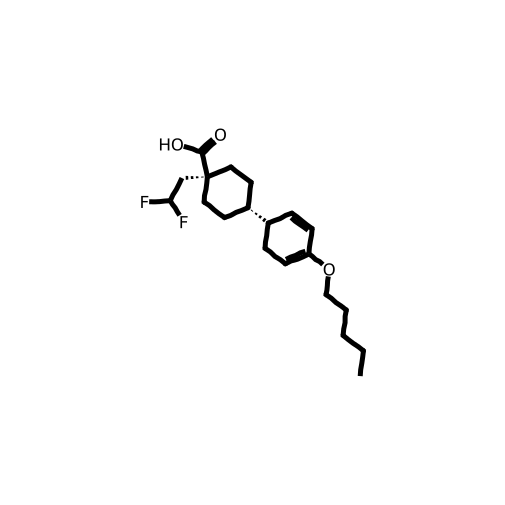 CCCCCOC1=CCC([C@H]2CC[C@](CC(F)F)(C(=O)O)CC2)C=C1